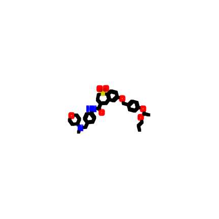 CCCOC(C)Oc1ccc(COc2ccc3c(c2)C=C(C(=O)Nc2ccc(CN(C)C4CCOCC4)cc2)CCS3(=O)=O)cc1